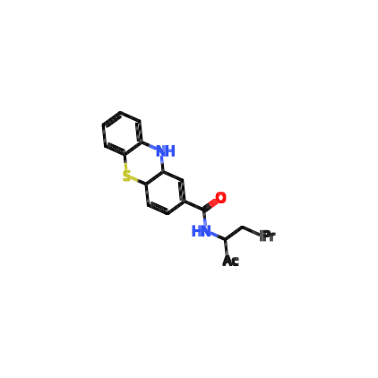 CC(=O)C(CC(C)C)NC(=O)C1=CC2Nc3ccccc3SC2C=C1